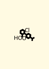 CC(C)c1ccc(-c2c(Cl)cccc2C(=O)O)cc1